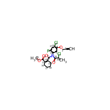 C#CCOc1cc(N(C(=O)C2=C(C(=O)OC)CCCC2)C(=O)C(C)Cl)c(F)cc1Cl